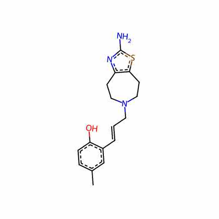 Cc1ccc(O)c(C=CCN2CCc3nc(N)sc3CC2)c1